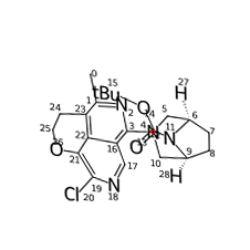 Cc1nc(N2C[C@H]3CC[C@@H](C2)N3C(=O)OC(C)(C)C)c2cnc(Cl)c3c2c1CCO3